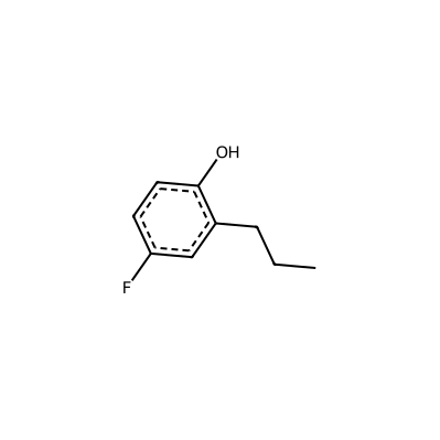 CCCc1cc(F)ccc1O